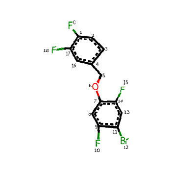 Fc1ccc(COc2cc(F)c(Br)cc2F)cc1F